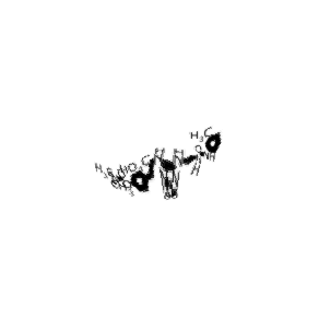 Cc1cccc(NC(=O)NCCNC2=NS(=O)(=O)N=C2NC(Cc2ccc(OC(=O)N(C)C)cc2)C(=O)O)c1